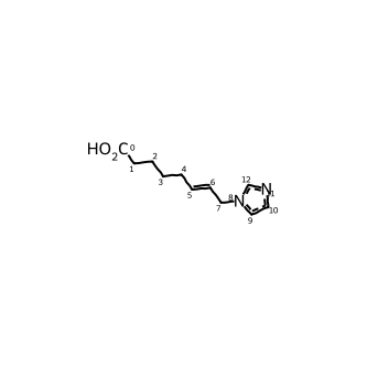 O=C(O)CCCCC=CCn1ccnc1